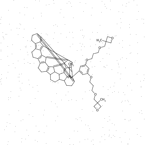 CN1CC23C4=c5c6c7c8c9c%10c%11c8c8c(c%12c%13c%14c(c5c7c%138)C5C(CCC(C45)C2CCC2=C(CC%10)C=9C6C23C1c1cc(OCCCOCC2(C)COC2)cc(OCCCOCC2(C)COC2)c1)C=%14CC%12)CC%11